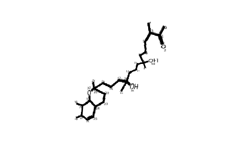 CC(=O)C(C)CCCC(C)(O)CCCC(C)(O)CCCC1(C)CCC2C=CC(C)C(C)C2O1